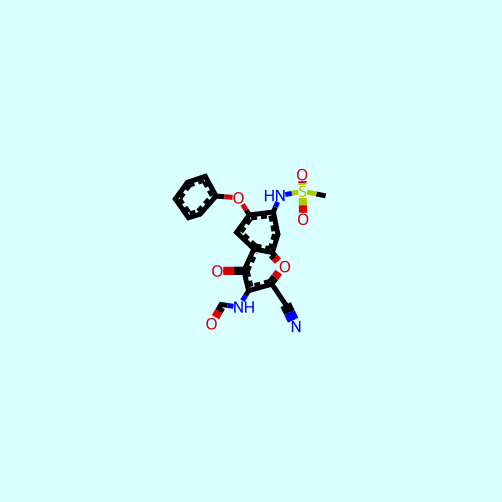 CS(=O)(=O)Nc1cc2oc(C#N)c(NC=O)c(=O)c2cc1Oc1ccccc1